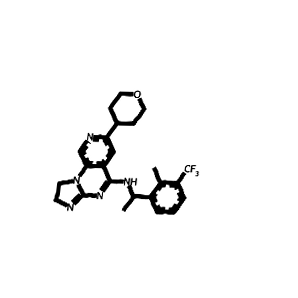 Cc1c(C(C)NC2=NC3=NCCN3c3cnc(C4CCOCC4)cc32)cccc1C(F)(F)F